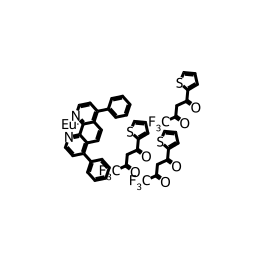 O=C(CC(=O)C(F)(F)F)c1cccs1.O=C(CC(=O)C(F)(F)F)c1cccs1.O=C(CC(=O)C(F)(F)F)c1cccs1.[Eu].c1ccc(-c2ccnc3c2ccc2c(-c4ccccc4)ccnc23)cc1